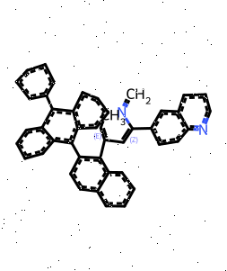 C=N/C(=C\C(=C/C)c1c(-c2c3ccccc3c(-c3ccccc3)c3ccccc23)ccc2ccccc12)c1ccc2ncccc2c1